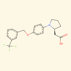 O=C(O)C[C@@H]1CCCN1c1ccc(OCc2cccc(C(F)(F)F)c2)cc1